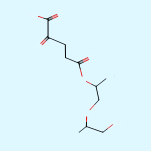 CC(CO)OCC(C)OC(=O)CCC(=O)C(=O)O